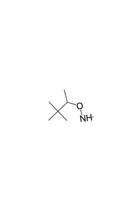 CC(O[NH])C(C)(C)C